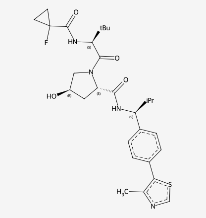 Cc1ncsc1-c1ccc([C@@H](NC(=O)[C@@H]2C[C@@H](O)CN2C(=O)[C@@H](NC(=O)C2(F)CC2)C(C)(C)C)C(C)C)cc1